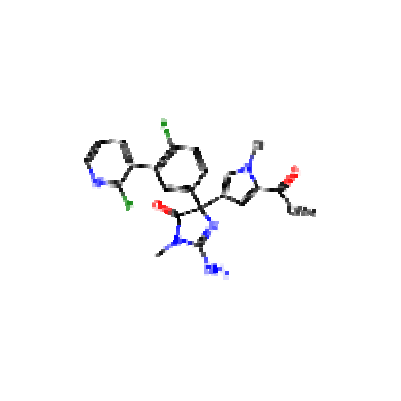 CCn1cc(C2(c3ccc(F)c(-c4cccnc4F)c3)N=C(N)N(C)C2=O)cc1C(=O)OC